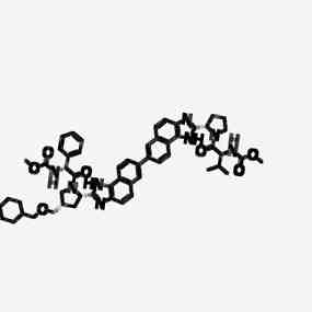 COC(=O)N[C@H](C(=O)N1CCC[C@H]1c1nc2ccc3cc(-c4ccc5c(ccc6nc([C@@H]7C[C@H](COCC8CCCCC8)CN7C(=O)[C@H](NC(=O)OC)c7ccccc7)[nH]c65)c4)ccc3c2[nH]1)C(C)C